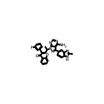 Cc1nc2cc(-c3nn(C(C)c4oc5ccccc5c(=O)c4-c4cccc(F)c4)c4ncnc(N)c34)ccc2[nH]1